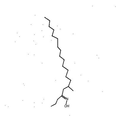 CCCCCCCCCCCCCCC(C)CC(CCC)=NO